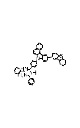 NC(NC(NCc1ccccc1)c1ccc(-n2c3ccc(-c4ccc5sc6ccccc6c5c4)cc3c3c4ccccc4ccc32)cc1)c1ccccc1